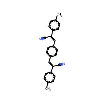 Cc1ccc(/C(C#N)=C/c2ccc(/C=C(\C#N)c3ccc(C)cc3)cc2)cc1